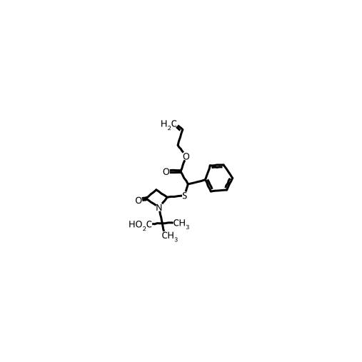 C=CCOC(=O)C(SC1CC(=O)N1C(C)(C)C(=O)O)c1ccccc1